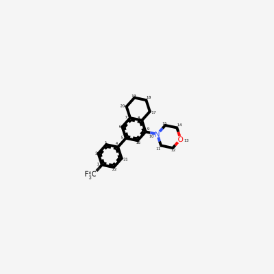 FC(F)(F)c1ccc(-c2cc3c(c(N4CCOCC4)c2)CCCC3)cc1